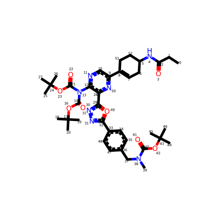 CCC(=O)NC1CC=C(c2cnc(N(C(=O)OC(C)(C)C)C(=O)OC(C)(C)C)c(-c3nnc(-c4ccc(CN(C)C(=O)OC(C)(C)C)cc4)o3)n2)CC1